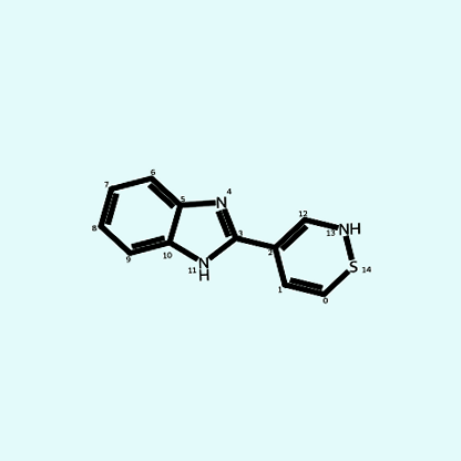 C1=CC(c2nc3ccccc3[nH]2)=CNS1